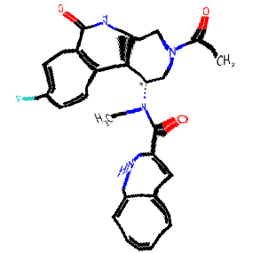 CC(=O)N1Cc2[nH]c(=O)c3cc(F)ccc3c2[C@@H](N(C)C(=O)c2cc3ccccc3[nH]2)C1